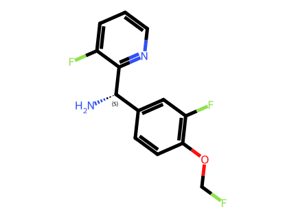 N[C@@H](c1ccc(OCF)c(F)c1)c1ncccc1F